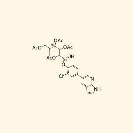 CC(=O)OCC(I)[C@@H](OC(C)=O)C(OC(C)=O)C(OC(C)=O)[C@H](O)Oc1ccc(-c2cnc3[nH]ccc3c2)cc1Cl